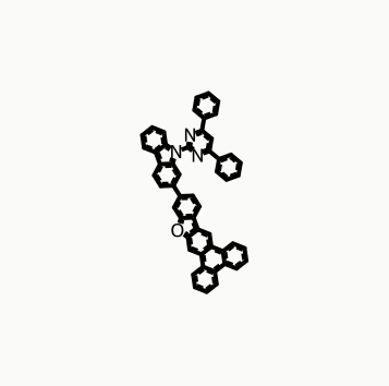 c1ccc(-c2cc(-c3ccccc3)nc(-n3c4ccccc4c4ccc(-c5ccc6c(c5)oc5cc7c8ccccc8c8ccccc8c7cc56)cc43)n2)cc1